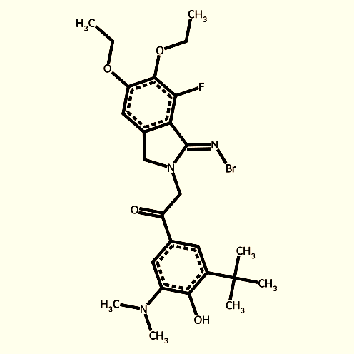 CCOc1cc2c(c(F)c1OCC)/C(=N/Br)N(CC(=O)c1cc(N(C)C)c(O)c(C(C)(C)C)c1)C2